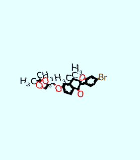 CC1(C)OC[C@H](COc2ccc3c(c2)C(C)(C)c2oc4cc(Br)ccc4c2C3=O)O1